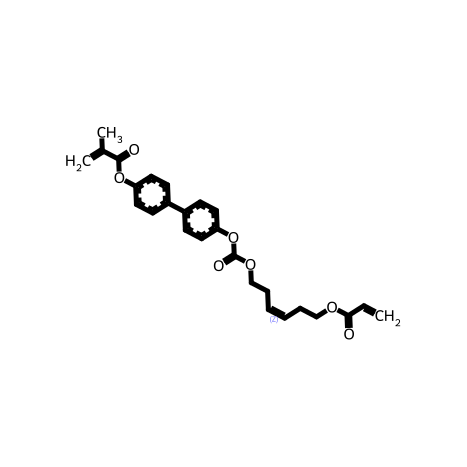 C=CC(=O)OCC/C=C\CCOC(=O)Oc1ccc(-c2ccc(OC(=O)C(=C)C)cc2)cc1